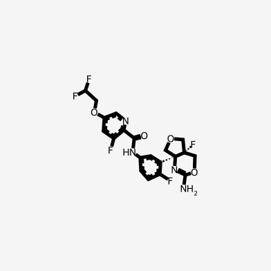 NC1=N[C@@]2(c3cc(NC(=O)c4ncc(OCC(F)F)cc4F)ccc3F)COC[C@@]2(F)CO1